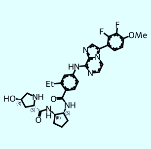 CCc1cc(Nc2nccn3c(-c4ccc(OC)c(F)c4F)cnc23)ccc1C(=O)N[C@H]1CCC[C@H]1NC(=O)[C@@H]1C[C@@H](O)CN1